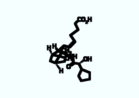 CC1(C)[C@H]2C[C@H](NC(=O)[C@H](O)C3CCCC3)[C@@H](C/C=C\CCCC(=O)O)[C@@H]1C2